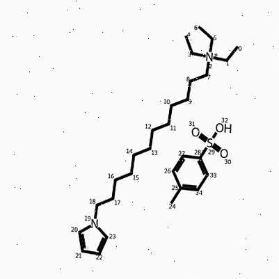 CC[N+](CC)(CC)CCCCCCCCCCCCn1cccc1.Cc1ccc(S(=O)(=O)O)cc1